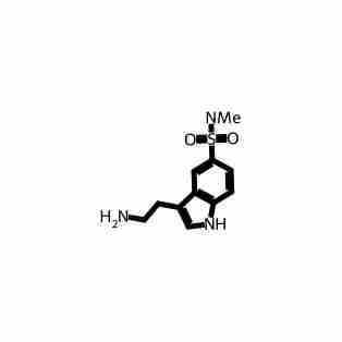 CNS(=O)(=O)c1ccc2[nH]cc(CCN)c2c1